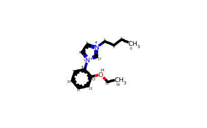 CCCCn1cc[n+](-c2ccccc2OCC)c1